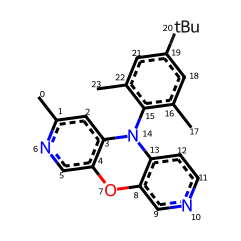 Cc1cc2c(cn1)Oc1cnccc1N2c1c(C)cc(C(C)(C)C)cc1C